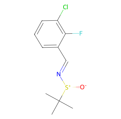 CC(C)(C)[S@@+]([O-])/N=C/c1cccc(Cl)c1F